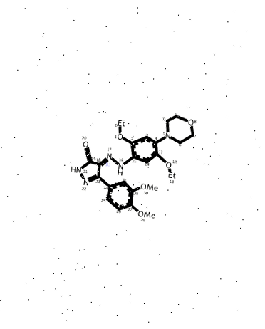 CCOc1cc(N2CCOCC2)c(OCC)cc1N/N=C1/C(=O)NN=C1c1ccc(OC)c(OC)c1